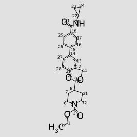 CCOC(=O)N1CCC(C2OCc3cc(-c4ccc(C(=O)NC5CC5)cc4)ccc3O2)CC1